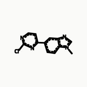 Cn1cnc2cc(-c3ccnc(Cl)n3)ccc21